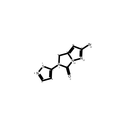 O=C1N(c2ccns2)Cc2cc(Br)nn21